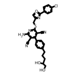 N#Cc1c(N)nc(SCc2coc(-c3ccc(Cl)cc3)n2)c(C#N)c1-c1ccc(CCCC(O)CO)cc1